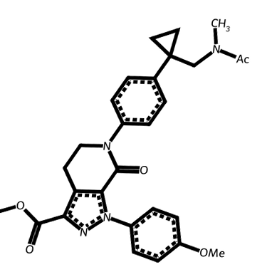 COc1ccc(-n2nc(C(=O)OS)c3c2C(=O)N(c2ccc(C4(CN(C)C(C)=O)CC4)cc2)CC3)cc1